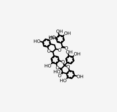 O=C(OC1Cc2c(O)cc(O)cc2OC1c1cc(O)c2c(c1)OC1(c3ccc(O)c(O)c3)Oc3cc(O)cc(O)c3C(=O)C1(O)O2)c1cc(O)c(O)c(O)c1